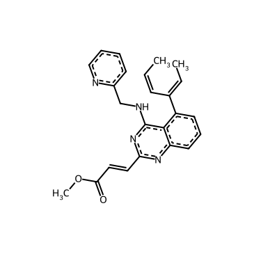 C/C=C\C(=C/C)c1cccc2nc(/C=C/C(=O)OC)nc(NCc3ccccn3)c12